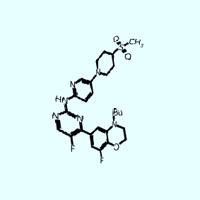 CCC(C)N1CCOc2c(F)cc(-c3nc(Nc4ccc(N5CCC(S(C)(=O)=O)CC5)cn4)ncc3F)cc21